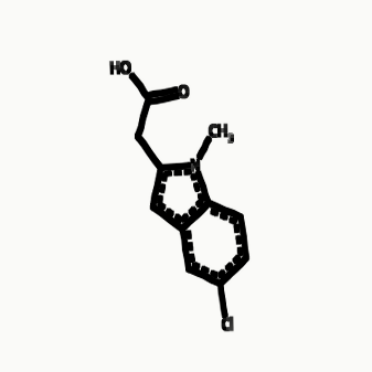 Cn1c(CC(=O)O)cc2cc(Cl)ccc21